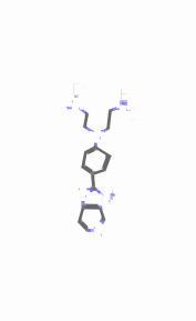 CCN(CC)CCN(CCN(CC)CC)c1ccc(-c2nc3ccncc3n2CC)cc1